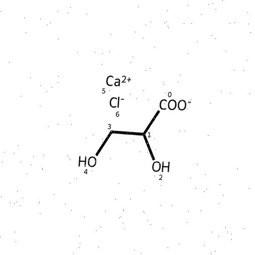 O=C([O-])C(O)CO.[Ca+2].[Cl-]